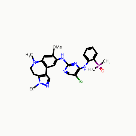 CCn1ncc2c1CCN(C)c1cc(OC)c(Nc3ncc(Br)c(Nc4ccccc4P(C)(C)=O)n3)cc1-2